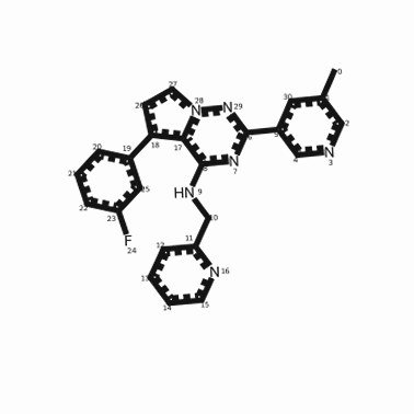 Cc1cncc(-c2nc(NCc3ccccn3)c3c(-c4cccc(F)c4)ccn3n2)c1